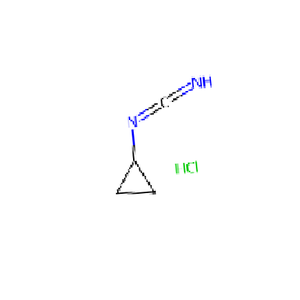 Cl.N=C=NC1CC1